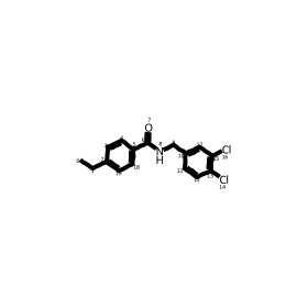 CCc1ccc(C(=O)NCc2ccc(Cl)c(Cl)c2)cc1